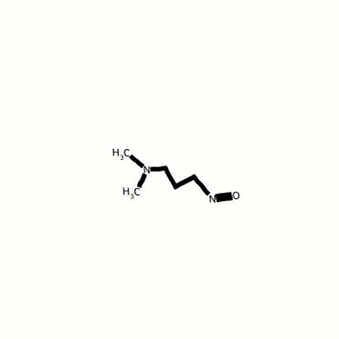 CN(C)CCCN=O